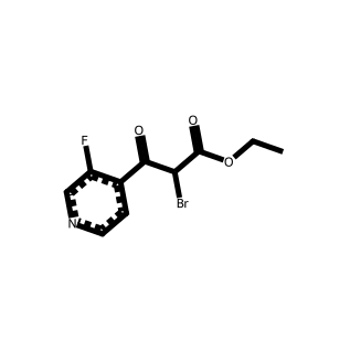 CCOC(=O)C(Br)C(=O)c1ccncc1F